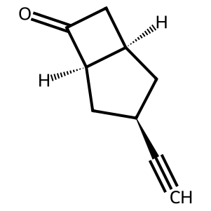 C#C[C@@H]1C[C@@H]2CC(=O)[C@@H]2C1